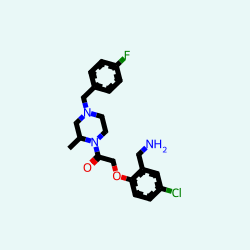 CC1CN(Cc2ccc(F)cc2)CCN1C(=O)COc1ccc(Cl)cc1CN